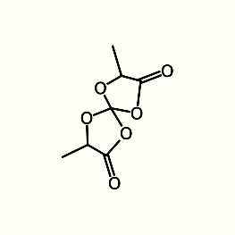 CC1OC2(OC1=O)OC(=O)C(C)O2